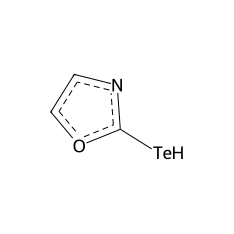 [TeH]c1ncco1